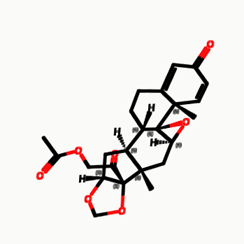 CC(=O)OCC(=O)[C@@]12OCO[C@@H]1C[C@H]1[C@@H]3CCC4=CC(=O)C=C[C@]4(C)[C@@]34O[C@H]4C[C@@]12C